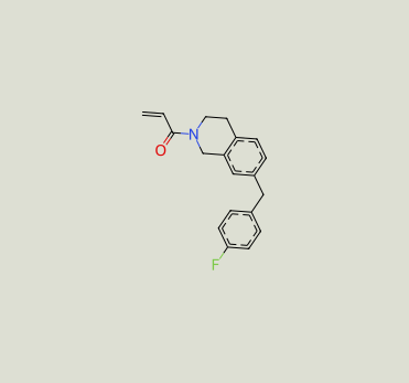 C=CC(=O)N1CCc2ccc(Cc3ccc(F)cc3)cc2C1